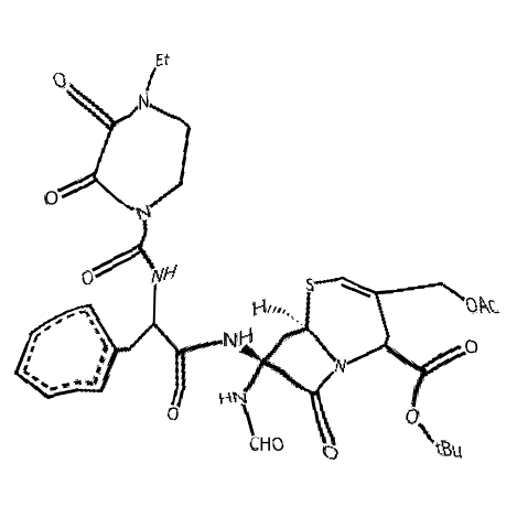 CCN1CCN(C(=O)NC(C(=O)N[C@]2(NC=O)C(=O)N3C(C(=O)OC(C)(C)C)C(COC(C)=O)=CS[C@@H]32)c2ccccc2)C(=O)C1=O